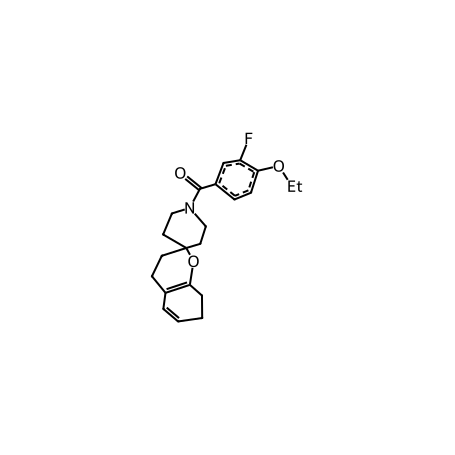 CCOc1ccc(C(=O)N2CCC3(CCC4=C(CCC=C4)O3)CC2)cc1F